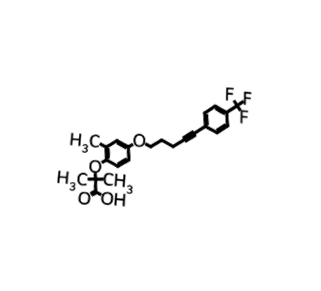 Cc1cc(OCCCC#Cc2ccc(C(F)(F)F)cc2)ccc1OC(C)(C)C(=O)O